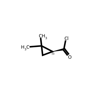 CC1(C)C[C@@H]1C(=O)Cl